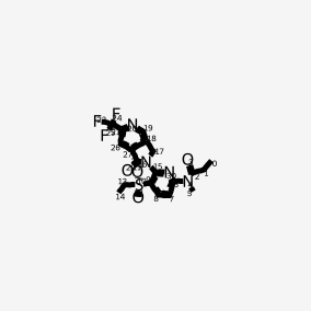 CCC(=O)N(C)c1ccc(S(=O)(=O)CC)c(N2Cc3cnc(C(F)(F)F)cc3C2=O)n1